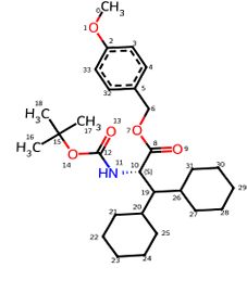 COc1ccc(COC(=O)[C@@H](NC(=O)OC(C)(C)C)C(C2CCCCC2)C2CCCCC2)cc1